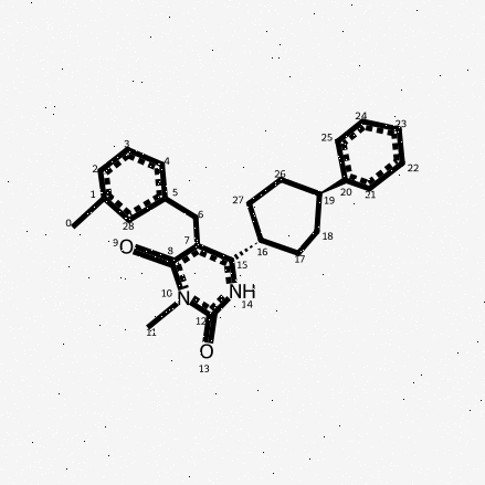 Cc1cccc(Cc2c(=O)n(C)c(=O)[nH]c2[C@H]2CC[C@H](c3ccccc3)CC2)c1